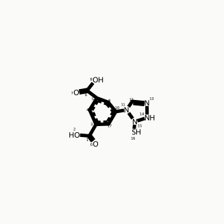 O=C(O)c1cc(C(=O)O)cc(N2C=NNN2S)c1